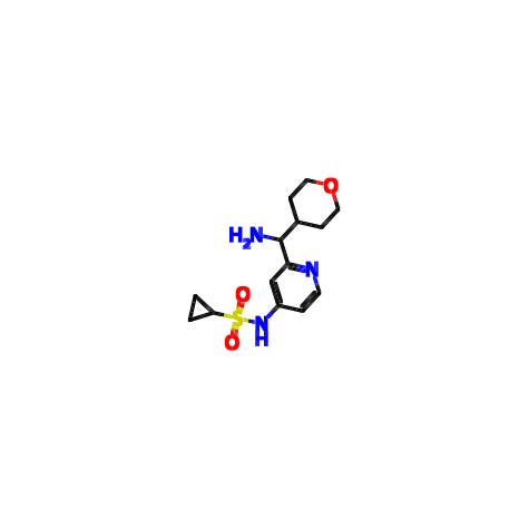 NC(c1cc(NS(=O)(=O)C2CC2)ccn1)C1CCOCC1